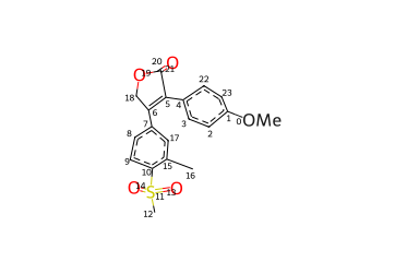 COc1ccc(C2=C(c3ccc(S(C)(=O)=O)c(C)c3)COC2=O)cc1